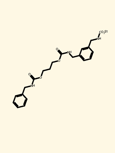 CCOC(=O)NCc1cccc(CNC(=O)OCCCOC(=O)NCc2ccccc2)c1